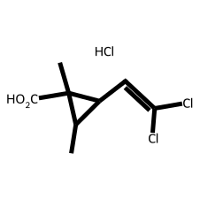 CC1C(C=C(Cl)Cl)C1(C)C(=O)O.Cl